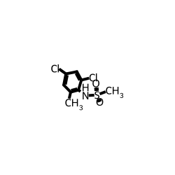 Cc1cc(Cl)cc(Cl)c1NS(C)(=O)=O